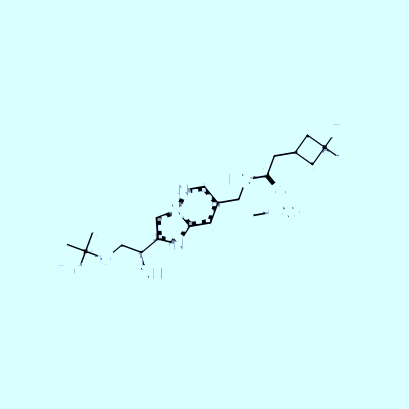 COC[C@@H](NC(=O)CC1CC(F)(F)C1)c1cnn2cc([C@@H](N)COC(C)(C)C(F)(F)F)nc2c1